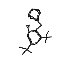 CC(C)(C)c1cc(O)c(Cc2ccccc2)c(C(C)(C)C)c1